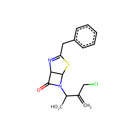 C=C(CCl)C(C(=O)O)N1C(=O)C2N=C(Cc3ccccc3)SC21